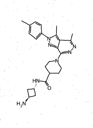 Cc1ccc(-n2nc3c(N4CCC(C(=O)N[C@H]5C[C@H](N)C5)CC4)nnc(C)c3c2C)cc1